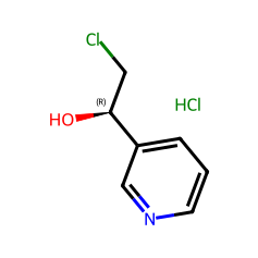 Cl.O[C@@H](CCl)c1cccnc1